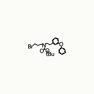 CC(C)(C)OC(=O)N(CCCBr)CCc1cccc(Oc2ccccc2)c1